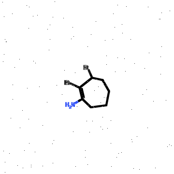 CCC1=C(N)CCCCC1CC